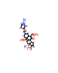 CC12CCC3C(C(=O)C(CO)C4CC(=NOC5CCNC5)CCC43CO)C1CCC2=O